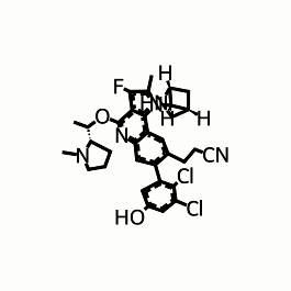 Cc1c(F)c2c(OC(C)[C@@H]3CCCN3C)nc3cc(-c4cc(O)cc(Cl)c4Cl)c(CCC#N)cc3c2n1[C@H]1[C@H]2CN[C@@H]1C2